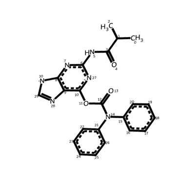 CC(C)C(=O)Nc1nc2c(c(OC(=O)N(c3ccccc3)c3ccccc3)n1)N=C[N]2